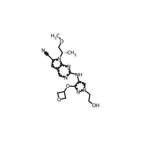 COC[C@H](C)n1c(C#N)cc2cnc(Nc3cn(CCO)nc3OC3COC3)nc21